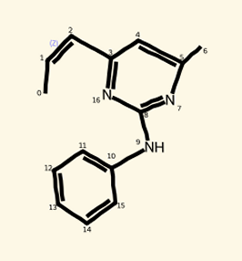 C/C=C\c1cc(C)nc(Nc2ccccc2)n1